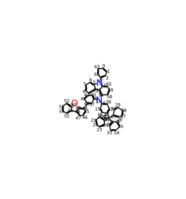 c1ccc(-n2c3ccccc3c3c(N(c4ccc([Si](c5ccccc5)(c5ccccc5)c5ccccc5)cc4)c4cccc(-c5cccc6c5oc5ccccc56)c4)cccc32)cc1